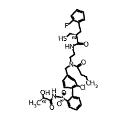 CCCC(=O)N(CCNC(=O)[C@@H](CS)Cc1ccccc1F)Cc1ccc(-c2ccccc2S(=O)(=O)NC(=O)[C@H](C)O)c(Cl)c1